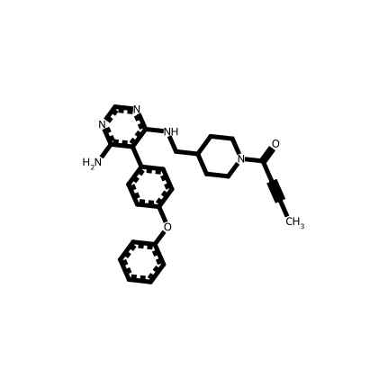 CC#CC(=O)N1CCC(CNc2ncnc(N)c2-c2ccc(Oc3ccccc3)cc2)CC1